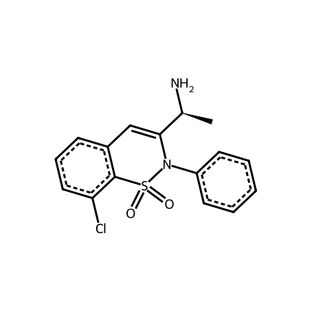 C[C@H](N)C1=Cc2cccc(Cl)c2S(=O)(=O)N1c1ccccc1